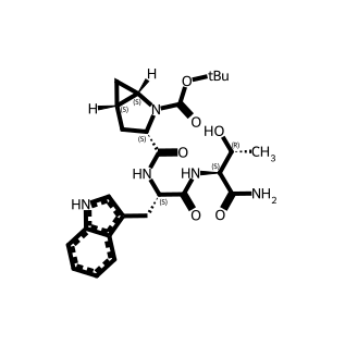 C[C@@H](O)[C@H](NC(=O)[C@H](Cc1c[nH]c2ccccc12)NC(=O)[C@@H]1C[C@@H]2C[C@@H]2N1C(=O)OC(C)(C)C)C(N)=O